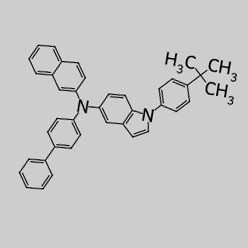 CC(C)(C)c1ccc(-n2ccc3cc(N(c4ccc(-c5ccccc5)cc4)c4ccc5ccccc5c4)ccc32)cc1